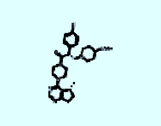 CNC1CCN(C[C@H](C(=O)N2CCN(c3ncnc4c3[C@H](C)CC4)CC2)c2ccc(Cl)cc2)CC1